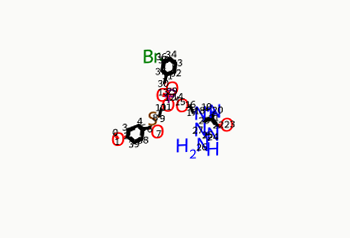 COc1ccc(C(=O)SCCOP(=O)(COCCn2cnc3c(=O)[nH]c(N)nc32)OCc2cccc(Br)c2)cc1